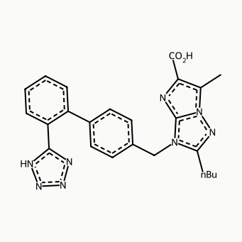 CCCCc1nn2c(C)c(C(=O)O)nc2n1Cc1ccc(-c2ccccc2-c2nnn[nH]2)cc1